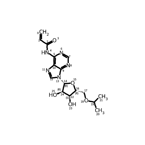 C=CC(=O)Nc1ncnc2c1ncn2[C@@H]1O[C@H](COC(C)C)[C@@H](O)[C@H]1O